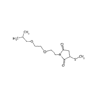 CSC1CC(=O)N(CCOCCOCC(C)C)C1=O